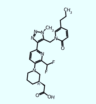 CCCc1ccc(=O)n(Cc2c(-c3ccc(N4CCC[C@H](CC(=O)O)C4)c(C(F)F)n3)nnn2C)c1